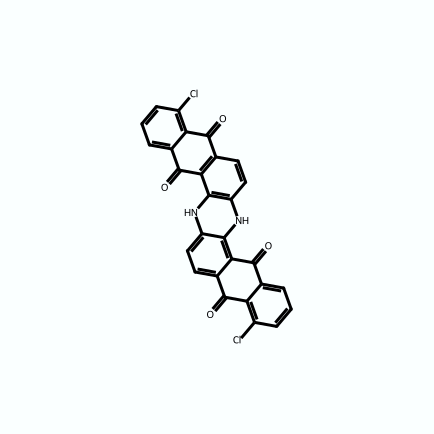 O=c1c2ccc3[nH]c4c(ccc5c(=O)c6c(Cl)cccc6c(=O)c54)[nH]c3c2c(=O)c2cccc(Cl)c12